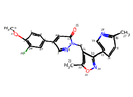 COc1ccc(-c2cnn(Cc3c(-c4ccc(C)nc4)noc3C)c(=O)c2)cc1F